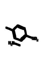 CN.Cc1ccc([N+](=O)[O-])cc1